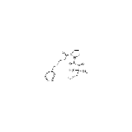 CCC(C)(C)C(=O)C(=O)N1CCCN1C(=O)CCCCc1cccnc1